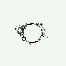 C[C@H]1N(C)C(=O)c2cccc(c2)CNC(=O)c2ccc(cn2)OCCN(C)C(=O)CC(C)(C)CC(=O)N(C)CCc2ccc(cc2)NC(=O)[C@@]1(C)CC(C)(C)C